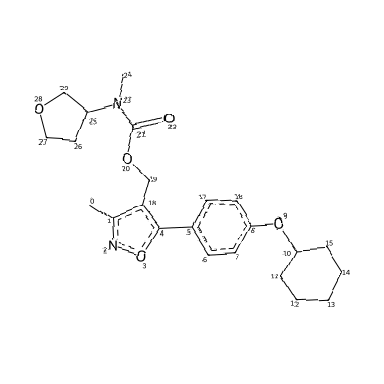 Cc1noc(-c2ccc(OC3CCCCC3)cc2)c1COC(=O)N(C)C1CCOC1